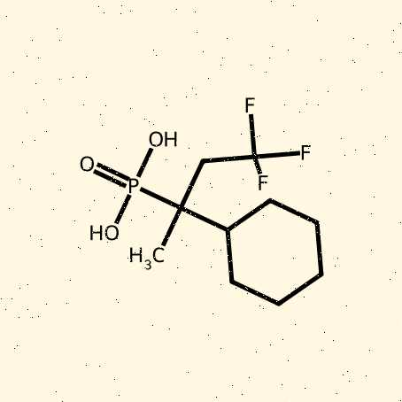 CC(CC(F)(F)F)(C1CCCCC1)P(=O)(O)O